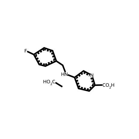 CC(=O)O.O=C(O)c1ccc(NCc2ccc(F)cc2)cn1